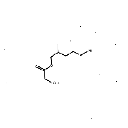 CCCCCCCCCC(=O)OCC(C)CCCC(C)CC